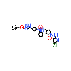 Cc1ncc(Cl)cc1C(=O)NC1CCC(Cn2c(=O)n(-c3ccc(-c4cn(COCC[Si](C)(C)C)nn4)cc3)c3ccccc32)CC1